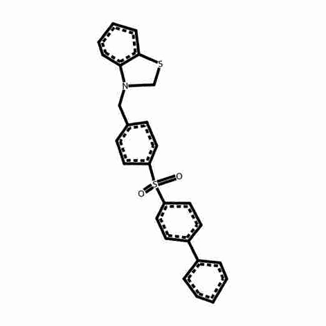 O=S(=O)(c1ccc(CN2CSc3ccccc32)cc1)c1ccc(-c2ccccc2)cc1